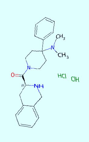 CN(C)C1(c2ccccc2)CCN(C(=O)[C@@H]2Cc3ccccc3CN2)CC1.Cl.Cl